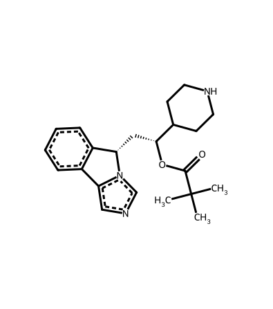 CC(C)(C)C(=O)O[C@H](C[C@H]1c2ccccc2-c2cncn21)C1CCNCC1